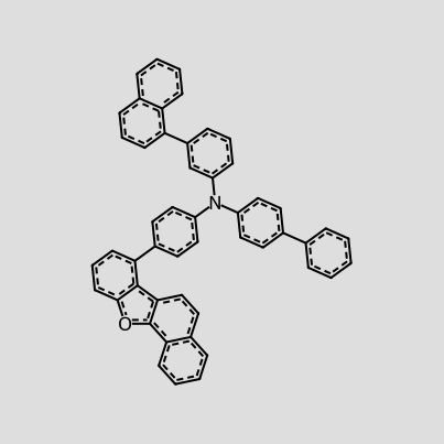 c1ccc(-c2ccc(N(c3ccc(-c4cccc5oc6c7ccccc7ccc6c45)cc3)c3cccc(-c4cccc5ccccc45)c3)cc2)cc1